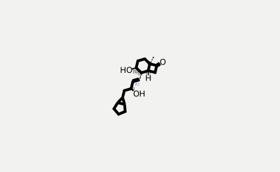 C[C@@]12CC[C@H](O)[C@@H](/C=C/[C@@H](O)CC3C4CCCC43)[C@@H]1CC2=O